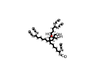 O=C=NC(CCCCCC(CCCCCC(N=C=O)N=C=O)(CCCCCC(N=C=O)N=C=O)CC(CO)(CO)CO)N=C=O